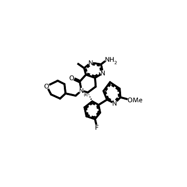 COc1cccc(-c2cc(F)ccc2[C@H]2Cc3nc(N)nc(C)c3C(=O)N2CC2CCOCC2)n1